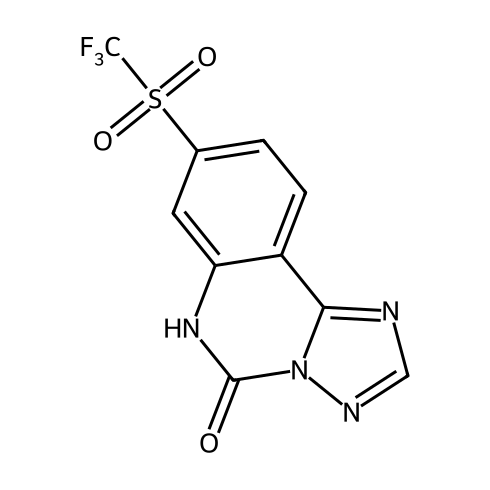 O=c1[nH]c2cc(S(=O)(=O)C(F)(F)F)ccc2c2ncnn12